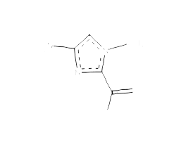 Cn1cc([N+](=O)[O-])nc1C(=O)C(Cl)(Cl)Cl